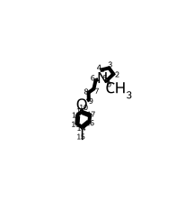 CC1CCCN1CCCCOc1ccc(I)cc1